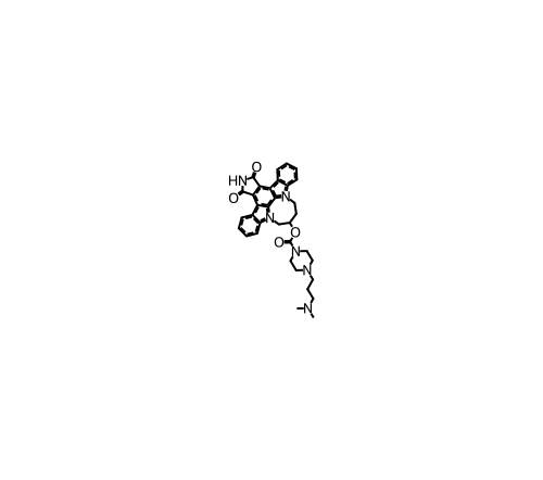 CN(C)CCCN1CCN(C(=O)OC2CCn3c4ccccc4c4c5c(c6c7ccccc7n(c6c43)C2)C(=O)NC5=O)CC1